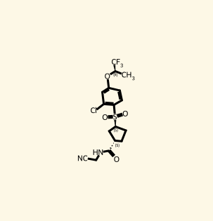 C[C@@H](Oc1ccc(S(=O)(=O)[C@H]2CC[C@H](C(=O)NCC#N)C2)c(Cl)c1)C(F)(F)F